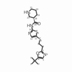 CC(C)(C)c1cnc(CCSc2cnc(NC(=O)[C@@H]3CCCNC3)s2)o1